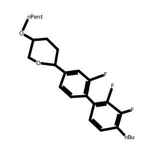 CCCCCOC1CCC(c2ccc(-c3ccc(CCCC)c(F)c3F)c(F)c2)OC1